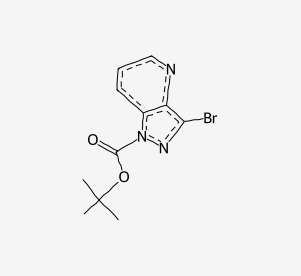 CC(C)(C)OC(=O)n1nc(Br)c2ncccc21